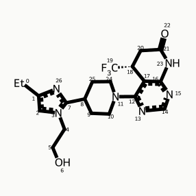 CCc1cn(CCO)c(C2CCN(c3ncnc4c3[C@H](C(F)(F)F)CC(=O)N4)CC2)n1